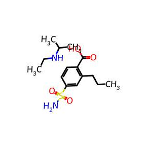 CCCc1cc(S(N)(=O)=O)ccc1C(=O)O.CCNC(C)C